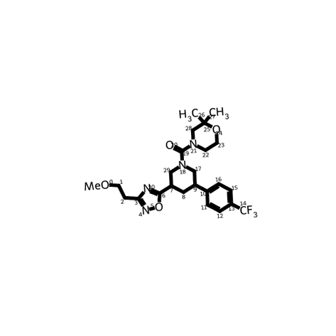 COCCc1noc(C2CC(c3ccc(C(F)(F)F)cc3)CN(C(=O)N3CCOC(C)(C)C3)C2)n1